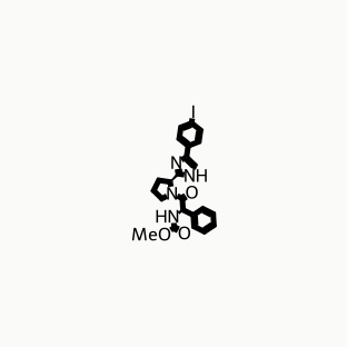 COC(=O)N[C@@H](C(=O)N1CCC[C@H]1c1nc(-c2ccc(I)cc2)c[nH]1)c1ccccc1